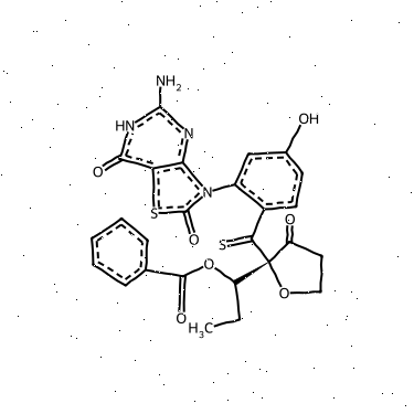 CCC(OC(=O)c1ccccc1)[C@]1(C(=S)c2ccc(O)cc2-n2c(=O)sc3c(=O)[nH]c(N)nc32)OCCC1=O